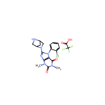 Cn1c(=O)c2c(nc(N3CC4CC3CN4)n2-c2ccccc2Cl)n(C)c1=O.O=C(O)C(F)(F)F